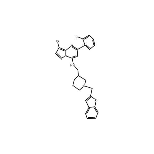 Clc1ccccc1-c1cc(NCC2CCCN(Cc3cc4ccccc4o3)C2)n2ncc(Br)c2n1